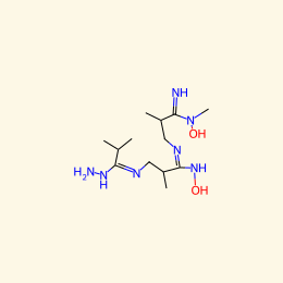 CC(C/N=C(/NO)C(C)C/N=C(/NN)C(C)C)C(=N)N(C)O